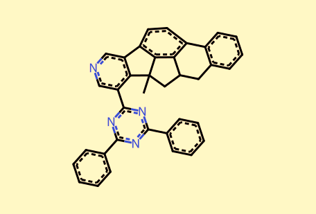 CC12CC3Cc4ccccc4-c4ccc(c1c43)-c1cncc(-c3nc(-c4ccccc4)nc(-c4ccccc4)n3)c12